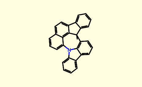 CC12c3ccccc3-c3ccc4cccc(c4c31)-n1c3ccccc3c3cccc2c31